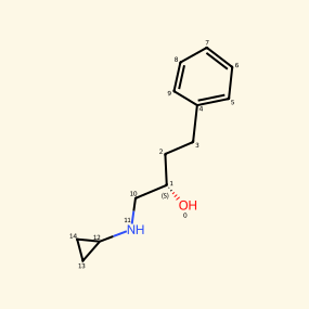 O[C@@H](CCc1ccccc1)CNC1CC1